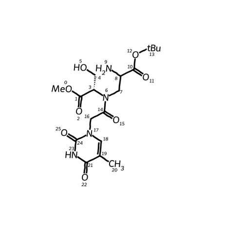 COC(=O)[C@H](CO)N(CC(N)C(=O)OC(C)(C)C)C(=O)Cn1cc(C)c(=O)[nH]c1=O